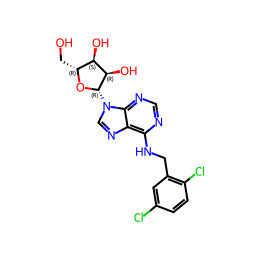 OC[C@H]1O[C@@H](n2cnc3c(NCc4cc(Cl)ccc4Cl)ncnc32)[C@H](O)[C@@H]1O